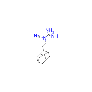 N#CN(CCC1C2CC3CC(C2)CC1C3)C(=N)N